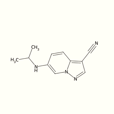 CC(C)Nc1ccc2c(C#N)cnn2c1